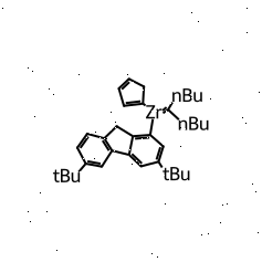 CCCC[C](CCCC)=[Zr]([C]1=CC=CC1)[c]1cc(C(C)(C)C)cc2c1Cc1ccc(C(C)(C)C)cc1-2